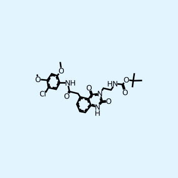 COc1cc(OC)c(NC(=O)Cc2cccc3[nH]c(=O)n(CCNC(=O)OC(C)(C)C)c(=O)c23)cc1Cl